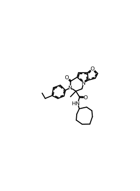 CCc1ccc(N2C(=O)c3cc4occc4n3CC2(C)C(=O)NC2CCCCCCC2)cc1